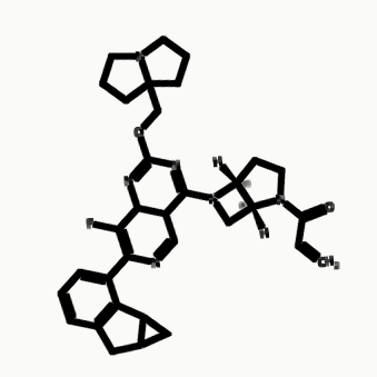 C=CC(=O)N1CC[C@@H]2[C@H]1CN2C1=NC(OCC23CCCN2CCC3)=NC2C(F)=C(c3cccc4c3C3CC3C4)N=CC12